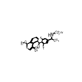 CCOc1ncc(CC)c2c(C(=O)c3c(F)cc(C(C)NC(=O)O)cc3F)cccc12